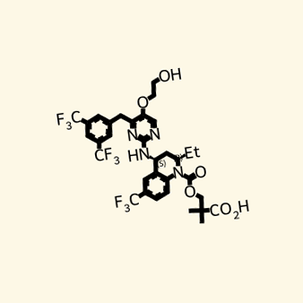 CC[C@@H]1C[C@H](Nc2ncc(OCCO)c(Cc3cc(C(F)(F)F)cc(C(F)(F)F)c3)n2)c2cc(C(F)(F)F)ccc2N1C(=O)OCC(C)(C)C(=O)O